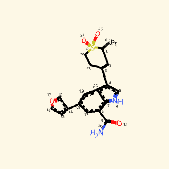 CC(C)C1CC(c2c[nH]c3c(C(N)=O)cc(-c4ccoc4)cc23)CCS1(=O)=O